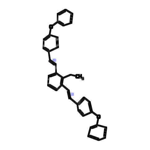 CCc1c(/C=C/c2ccc(Oc3ccccc3)cc2)cccc1/C=C/c1ccc(Oc2ccccc2)cc1